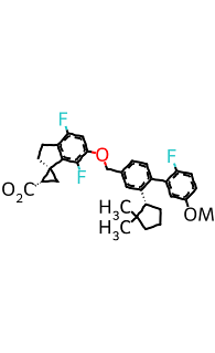 COc1ccc(F)c(-c2ccc(COc3cc(F)c4c(c3F)[C@@]3(CC4)C[C@@H]3C(=O)O)cc2[C@@H]2CCCC2(C)C)c1